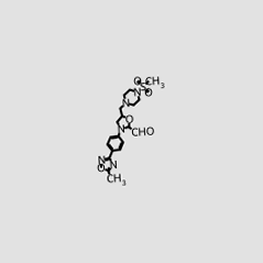 Cc1nc(-c2ccc(N3CC(CN4CCN(S(C)(=O)=O)CC4)OC3C=O)cc2)no1